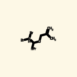 C=C(C)COC(CCC)[SiH](Br)Br